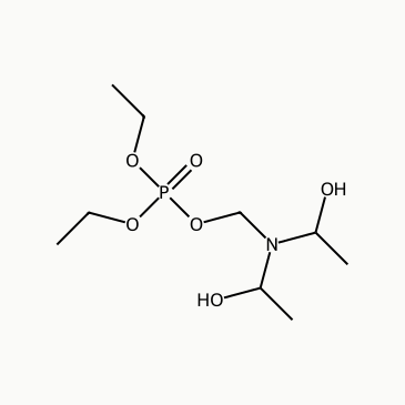 CCOP(=O)(OCC)OCN(C(C)O)C(C)O